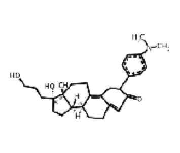 CN(C)c1ccc(C2CC3=C4CC[C@]5(C)[C@@H](CC[C@@]5(O)CCCO)[C@@H]4CCC3=CC2=O)cc1